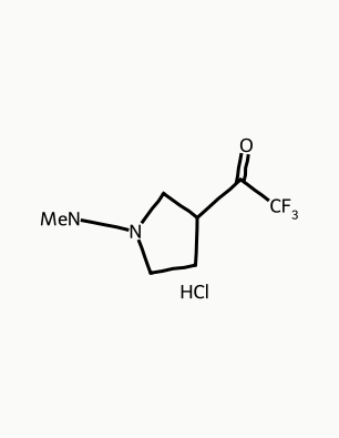 CNN1CCC(C(=O)C(F)(F)F)C1.Cl